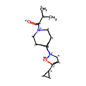 CC(C)C(=O)N1CCC(N2CC=C(C3CC3)O2)CC1